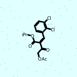 CC(=O)OCC(=O)C(=Cc1cccc(Cl)c1Cl)C(=O)OC(C)C